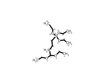 CCOC(OCC)[SiH2]CC[Si](OCC)(OCC)OCC